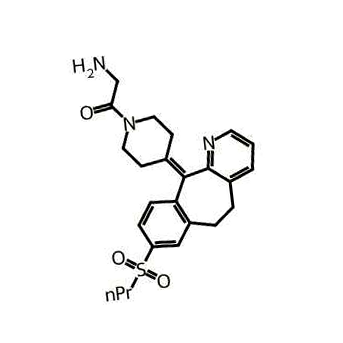 CCCS(=O)(=O)c1ccc2c(c1)CCc1cccnc1C2=C1CCN(C(=O)CN)CC1